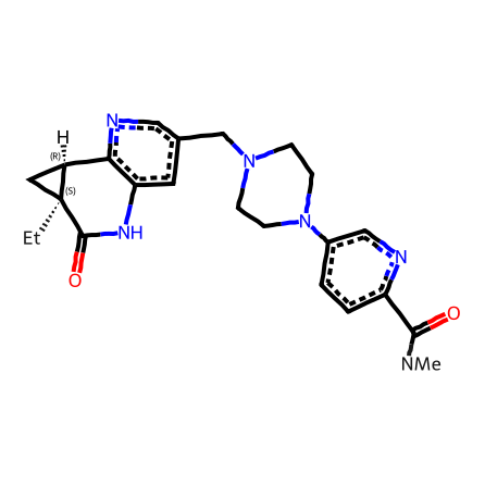 CC[C@]12C[C@H]1c1ncc(CN3CCN(c4ccc(C(=O)NC)nc4)CC3)cc1NC2=O